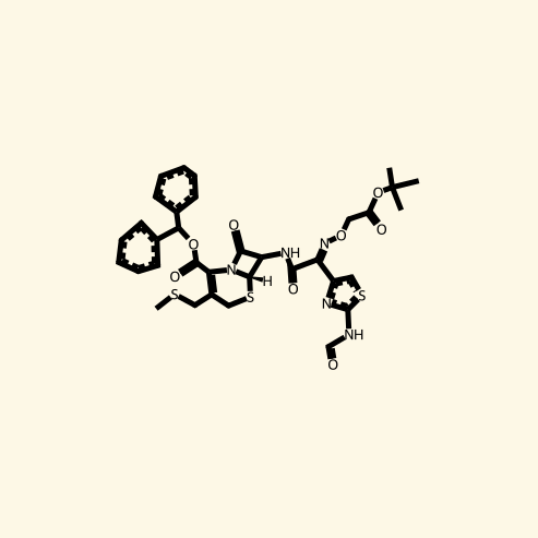 CSCC1=C(C(=O)OC(c2ccccc2)c2ccccc2)N2C(=O)C(NC(=O)C(=NOCC(=O)OC(C)(C)C)c3csc(NC=O)n3)[C@@H]2SC1